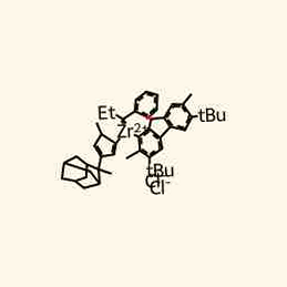 CC/[C](c1ccccc1)=[Zr+2](\[C]1=CC(C2(C)C3CC4CC(C3)CC2C4)=CC1C)[c]1c(C)c(C(C)(C)C)cc2c1Cc1cc(C)c(C(C)(C)C)cc1-2.[Cl-].[Cl-]